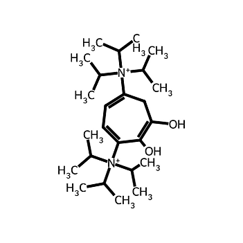 CC(C)[N+](C1=CC=C([N+](C(C)C)(C(C)C)C(C)C)C(O)=C(O)C1)(C(C)C)C(C)C